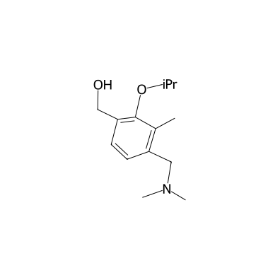 Cc1c(CN(C)C)ccc(CO)c1OC(C)C